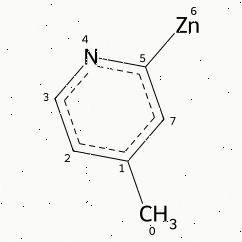 Cc1ccn[c]([Zn])c1